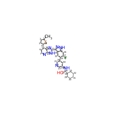 Cc1ccc(-c2ccnc3[nH]c(-c4n[nH]c5cc(F)c(-c6cncc(NC(O)C7CCCCC7)c6)cc45)nc23)s1